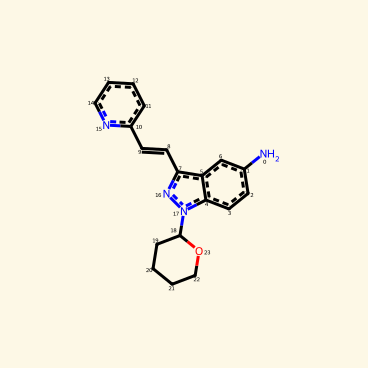 Nc1ccc2c(c1)c(C=Cc1ccccn1)nn2C1CCCCO1